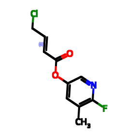 Cc1cc(OC(=O)/C=C/CCl)cnc1F